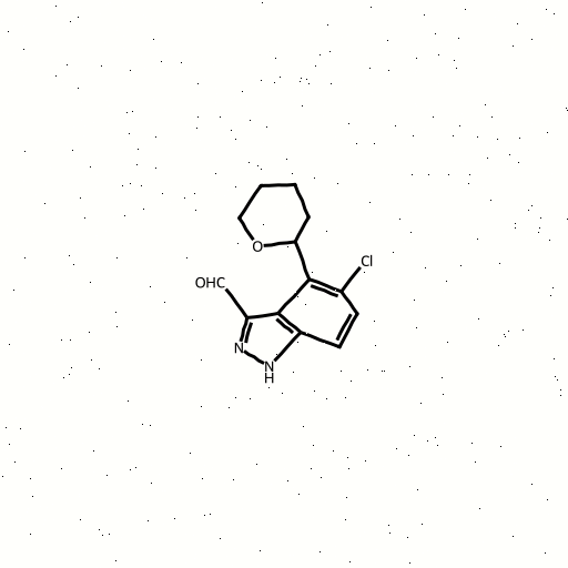 O=Cc1n[nH]c2ccc(Cl)c(C3CCCCO3)c12